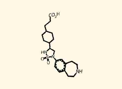 O=C(O)CCC1CCC(C2CN(c3ccc4c(c3)CCNCC4)S(=O)(=O)N2)CC1